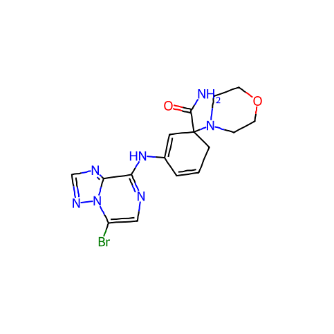 NC(=O)C1(N2CCOCC2)C=C(Nc2ncc(Br)n3ncnc23)C=CC1